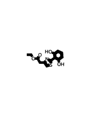 CCOC(=O)Cc1csc(-c2c(O)cccc2O)n1